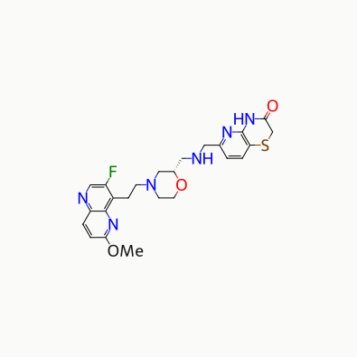 COc1ccc2ncc(F)c(CCN3CCO[C@@H](CNCc4ccc5c(n4)NC(=O)CS5)C3)c2n1